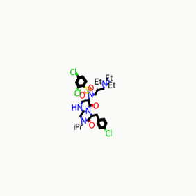 CC[N+](CC)(CC)CCCN(C1CNC2CN(C(C)C)C(=O)C(Cc3ccc(Cl)cc3)N2C1=O)S(=O)(=O)c1ccc(Cl)cc1Cl